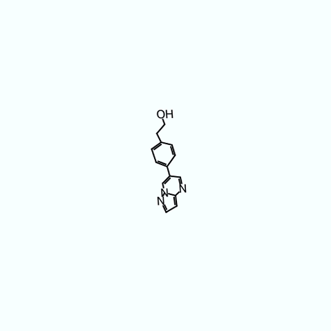 OCCc1ccc(-c2cnc3ccnn3c2)cc1